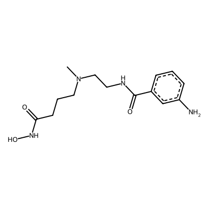 CN(CCCC(=O)NO)CCNC(=O)c1cccc(N)c1